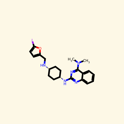 CN(C)c1nc(N[C@H]2CC[C@@H](NCc3ccc(I)o3)CC2)nc2ccccc12